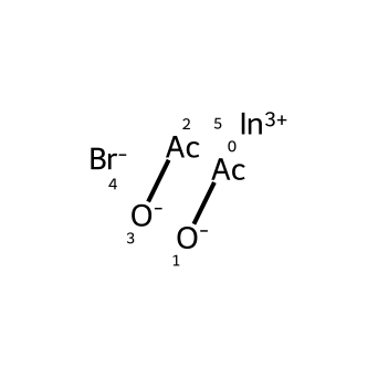 CC(=O)[O-].CC(=O)[O-].[Br-].[In+3]